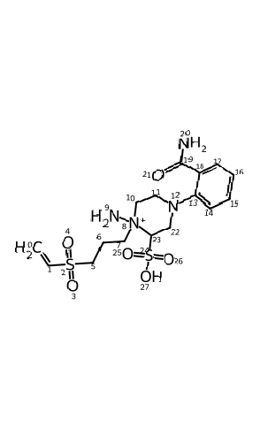 C=CS(=O)(=O)CCC[N+]1(N)CCN(c2ccccc2C(N)=O)CC1S(=O)(=O)O